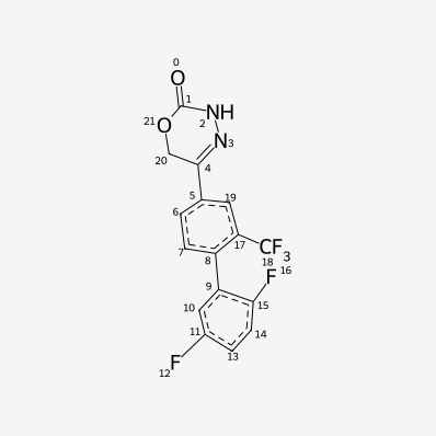 O=C1NN=C(c2ccc(-c3cc(F)ccc3F)c(C(F)(F)F)c2)CO1